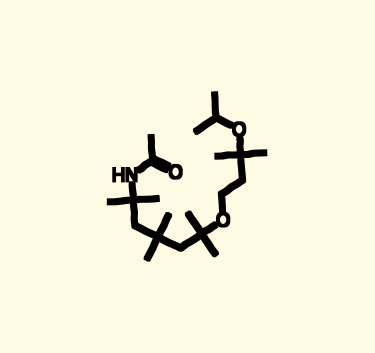 CC(=O)NC(C)(C)CC(C)(C)CC(C)(C)OCCC(C)(C)OC(C)C